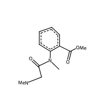 CNCC(=O)N(C)c1ccccc1C(=O)OC